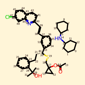 C1CCC(NC2CCCCC2)CC1.CC(=O)OC1(CS[C@H](CCc2ccccc2C(C)(C)O)c2cccc(C=Cc3ccc4ccc(Cl)cc4n3)c2)CC1